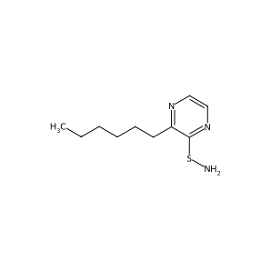 CCCCCCc1nccnc1SN